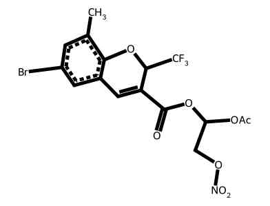 CC(=O)OC(CO[N+](=O)[O-])OC(=O)C1=Cc2cc(Br)cc(C)c2OC1C(F)(F)F